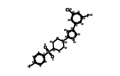 O=S(=O)(c1ccc(F)cc1)C1CCN(c2nc(-c3cc(F)cc(Cl)c3)cs2)CC1